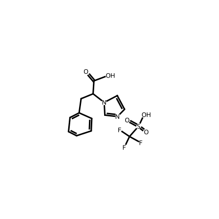 O=C(O)C(Cc1ccccc1)n1ccnc1.O=S(=O)(O)C(F)(F)F